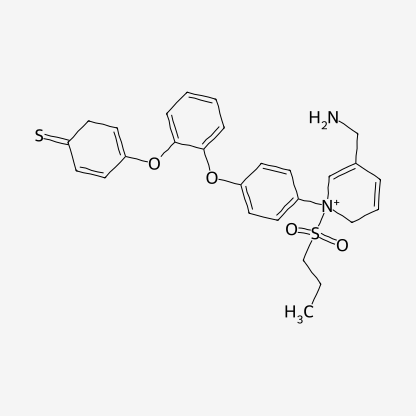 CCCS(=O)(=O)[N+]1(c2ccc(Oc3ccccc3OC3=CCC(=S)C=C3)cc2)C=C(CN)C=CC1